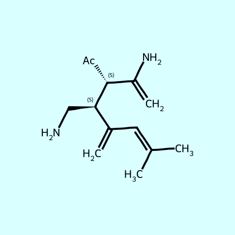 C=C(N)[C@@H](C(C)=O)[C@H](CN)C(=C)C=C(C)C